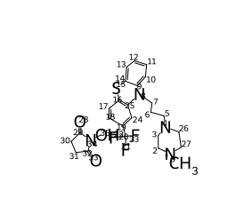 CN1CCN(CCCN2c3ccccc3Sc3ccc(C(F)(F)F)cc32)CC1.O=C1CCC(=O)N1O